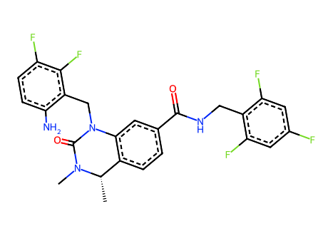 C[C@H]1c2ccc(C(=O)NCc3c(F)cc(F)cc3F)cc2N(Cc2c(N)ccc(F)c2F)C(=O)N1C